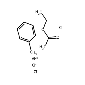 CCOC(C)=O.Cc1ccccc1.[Al+3].[Cl-].[Cl-].[Cl-]